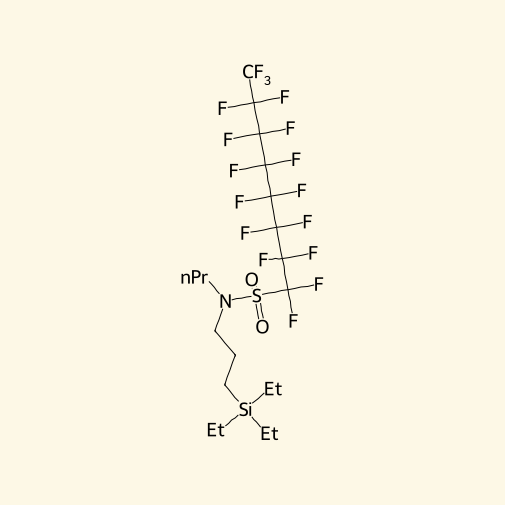 CCCN(CCC[Si](CC)(CC)CC)S(=O)(=O)C(F)(F)C(F)(F)C(F)(F)C(F)(F)C(F)(F)C(F)(F)C(F)(F)C(F)(F)F